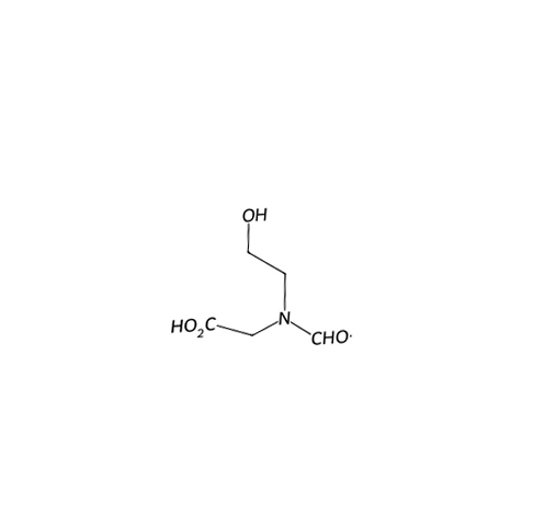 O=[C]N(CCO)CC(=O)O